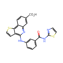 O=C(O)c1ccc2c(c1)nc(Nc1cccc(C(=O)Nc3nccs3)c1)c1ccsc12